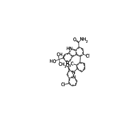 Cc1c(-c2c(Cl)cc(C(N)=O)c3[nH]c4cc(C(C)(C)O)ccc4c23)cccc1-n1c(=O)cc2c(Cl)cccn21